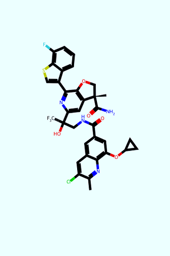 Cc1nc2c(OC3CC3)cc(C(=O)NCC(O)(c3cc4c(c(-c5csc6c(F)cccc56)n3)OC[C@]4(C)C(N)=O)C(F)(F)F)cc2cc1Cl